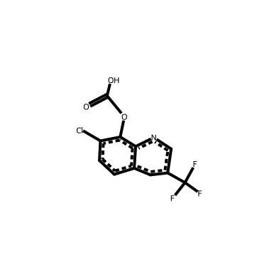 O=C(O)Oc1c(Cl)ccc2cc(C(F)(F)F)cnc12